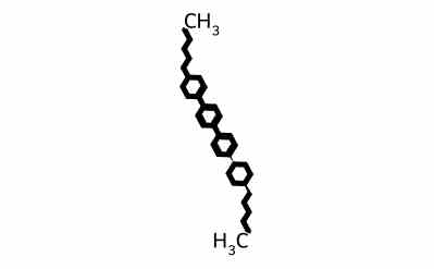 CCCCCCC1CC=C(c2ccc(-c3ccc([C@H]4CC[C@H](CCCCCC)CC4)cc3)cc2)CC1